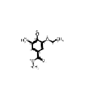 CCOc1cc(C(=O)OC)cc(N)c1Cl